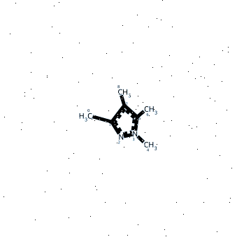 Cc1nn(C)c(C)c1C